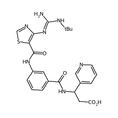 CC(C)(C)N/C(N)=N/c1ncsc1C(=O)Nc1cccc(C(=O)NC(CC(=O)O)c2cccnc2)c1